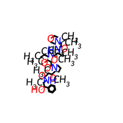 CC[C@H](C)[C@@H](C(CC(=O)N1CCC[C@H]1[C@H](OC)[C@@H](C)C(=O)N[C@H](C)[C@@H](O)c1ccccc1)OC)N(C)C(=O)[C@@H](NC(=O)[C@H](C(C)C)N1CCOCC1)C(C)C